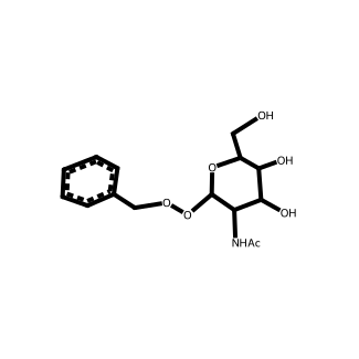 CC(=O)NC1C(OOCc2ccccc2)OC(CO)C(O)C1O